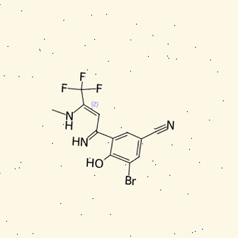 CN/C(=C\C(=N)c1cc(C#N)cc(Br)c1O)C(F)(F)F